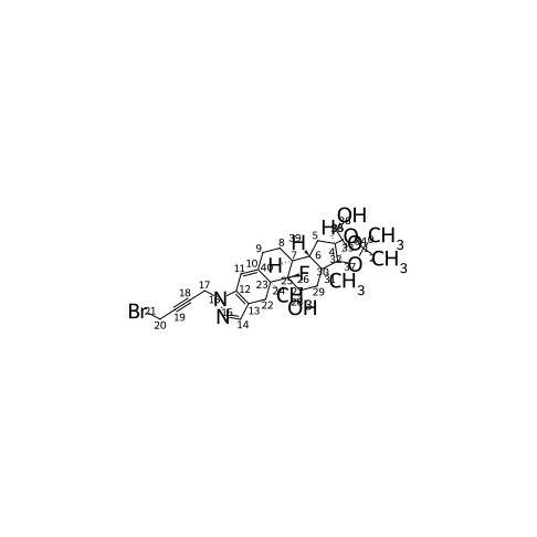 CC1(C)O[C@@H]2C[C@H]3[C@@H]4CCC5=Cc6c(cnn6CC#CCBr)C[C@]5(C)[C@@]4(F)[C@@H](O)C[C@]3(C)[C@]2(C(=O)CO)O1